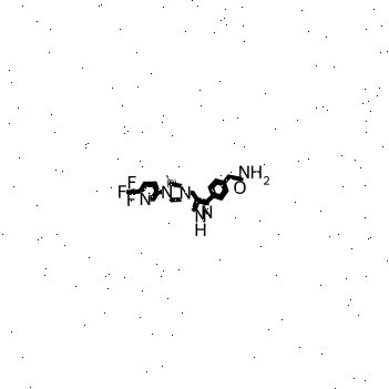 C[C@@H]1CN(Cc2c[nH]nc2-c2ccc(CC(N)=O)cc2)CCN1c1ccc(C(F)(F)F)nc1